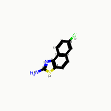 Nc1nc2c(ccc3cc(Cl)ccc32)s1